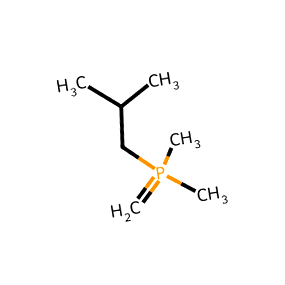 C=P(C)(C)CC(C)C